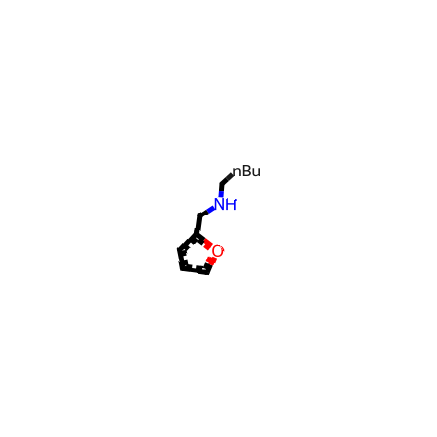 CCCCCNCc1ccco1